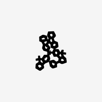 CC1(C)c2ccccc2-c2ccc(N(c3ccc4c(c3)-c3c(-c5ccccc5)cccc3C4(C)C)c3ccc4c(c3)C3(c5ccccc5-c5ccccc53)c3ccccc3-4)cc21